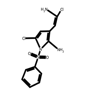 N/C(Cl)=C\c1cc(Cl)n(S(=O)(=O)c2ccccc2)c1N